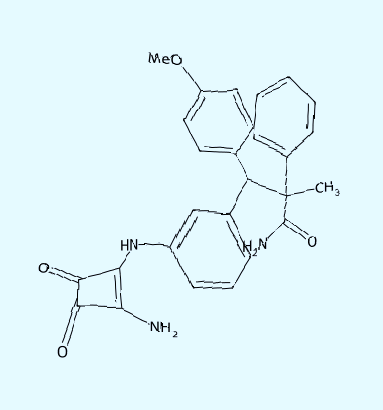 COc1ccc(C(c2cccc(Nc3c(N)c(=O)c3=O)c2)C(C)(C(N)=O)c2ccccc2)cc1